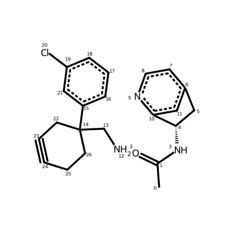 CC(=O)N[C@H]1Cc2ccnc1c2.NCC1(c2cccc(Cl)c2)CC#CCC1